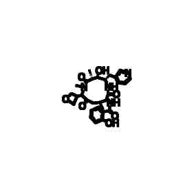 C[C@H]1CC(=O)C(C2COC2)N(C)C(=O)[C@H](C)[C@H](O)[C@H](Cc2cccnc2)NC(=O)[C@H]1NC(=O)c1ccccc1O